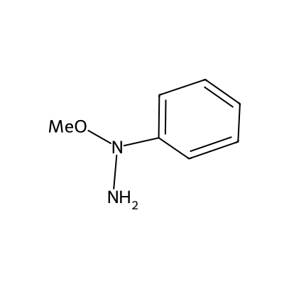 CON(N)c1ccccc1